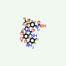 COc1ccc([C@@H](Nc2cc(C(N)=O)ccc2C)C(=O)N2CCC[C@@H]2c2cc(N(C)C(=O)O)ccc2S(=O)(=O)C(C)C)cc1OC